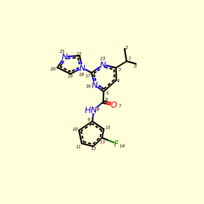 CC(C)c1cc(C(=O)Nc2cccc(F)c2)nc(-n2ccnc2)n1